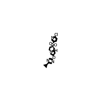 O=S(=O)(c1ccc(Cl)nc1)N1CCN2C[C@H](Oc3cnc(C4CC4)cn3)C[C@H]2C1